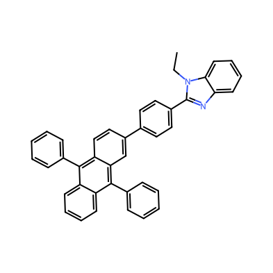 CCn1c(-c2ccc(-c3ccc4c(-c5ccccc5)c5ccccc5c(-c5ccccc5)c4c3)cc2)nc2ccccc21